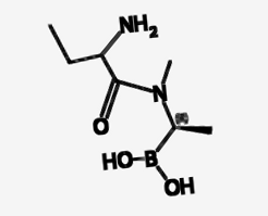 CCC(N)C(=O)N(C)[C@@H](C)B(O)O